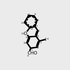 O=CC1C=C(I)C2=Cc3ccccc3OC2=C1